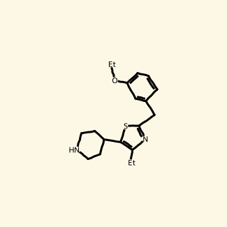 CCOc1cccc(Cc2nc(CC)c(C3CCNCC3)s2)c1